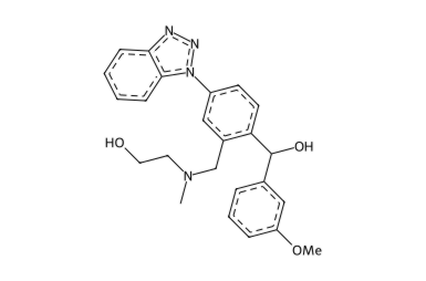 COc1cccc(C(O)c2ccc(-n3nnc4ccccc43)cc2CN(C)CCO)c1